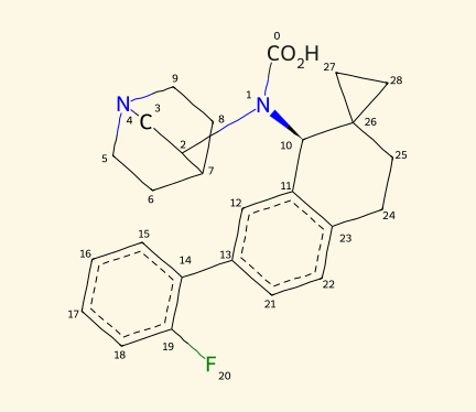 O=C(O)N(C1CN2CCC1CC2)[C@@H]1c2cc(-c3ccccc3F)ccc2CCC12CC2